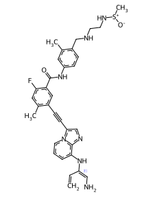 C=C/C(=C\N)Nc1cccn2c(C#Cc3cc(C(=O)Nc4ccc(CNCCN[S+](C)[O-])c(C)c4)c(F)cc3C)cnc12